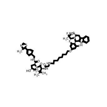 Cc1ncsc1-c1ccc(CNC(=O)[C@@H]2C[C@@H](O)CN2C(=O)[C@@H](NC(=O)CNCCCCCCCCOc2cc(F)c([C@@H]3c4[nH]c5ccccc5c4C[C@@H](C)N3CC(C)(C)F)c(F)c2)C(C)(C)C)cc1